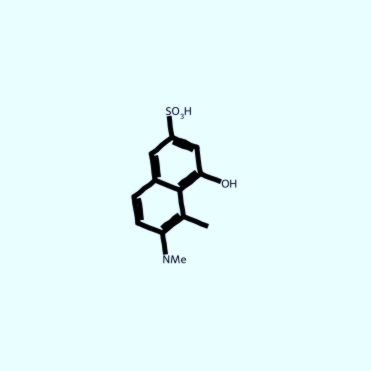 CNc1ccc2cc(S(=O)(=O)O)cc(O)c2c1C